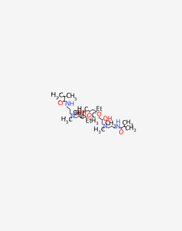 C=C(C)C(=O)NCCC[N+](C)(C)CC(O)COC(C)(CC)CC(C)OC(C)(CC)CC(O)C[N+](C)(C)CCCNC(=O)C(=C)C